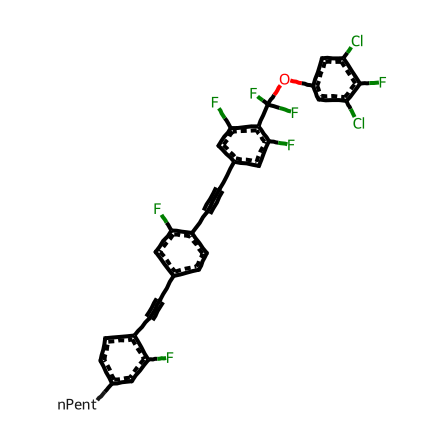 CCCCCc1ccc(C#Cc2ccc(C#Cc3cc(F)c(C(F)(F)Oc4cc(Cl)c(F)c(Cl)c4)c(F)c3)c(F)c2)c(F)c1